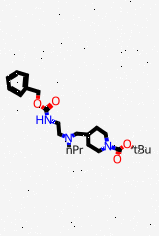 CCCN(CCNC(=O)OCc1ccccc1)CC1CCN(C(=O)OC(C)(C)C)CC1